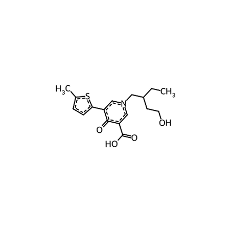 CCC(CCO)Cn1cc(C(=O)O)c(=O)c(-c2ccc(C)s2)c1